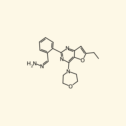 CCc1cc2nc(-c3ccccc3/C=N\N)nc(N3CCOCC3)c2o1